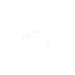 COc1cccc(OCCCNCCCC2(c3ccc(F)cc3)OCc3cc(C#N)ccc32)c1